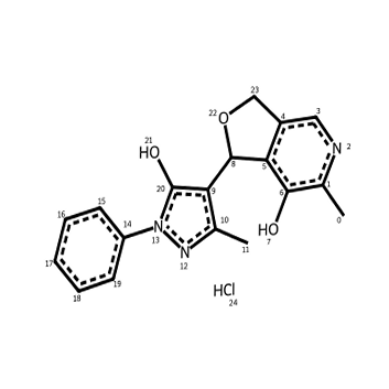 Cc1ncc2c(c1O)C(c1c(C)nn(-c3ccccc3)c1O)OC2.Cl